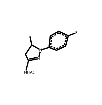 CC(=O)NC1=NN(c2ccc(F)cc2)C(C)C1